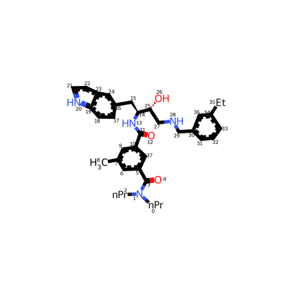 CCCN(CCC)C(=O)c1cc(C)cc(C(=O)N[C@@H](Cc2ccc3[nH]ccc3c2)[C@H](O)CNCc2cccc(CC)c2)c1